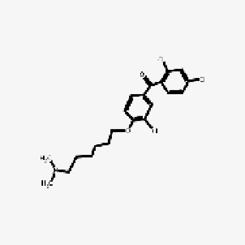 CN(C)CCCCCCOc1ccc(C(=O)c2ccc(Cl)cc2Cl)cc1Cl